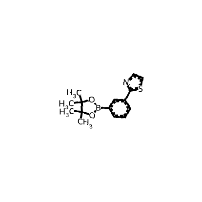 CC1(C)OB(c2cccc(-c3nccs3)c2)OC1(C)C